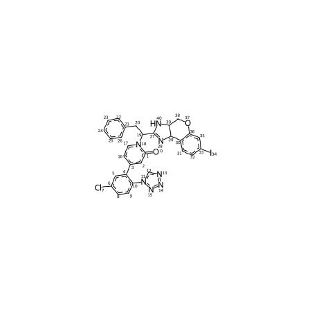 O=c1cc(-c2cc(Cl)ccc2-n2cnnn2)ccn1C(Cc1ccccc1)C1=NC2c3ccc(I)cc3OCC2N1